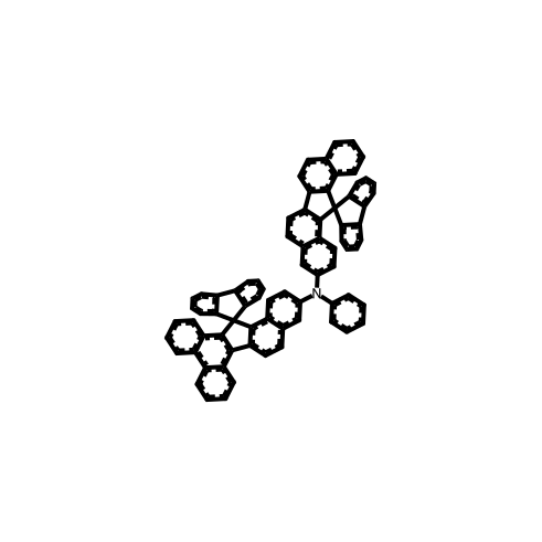 c1ccc(N(c2ccc3c4c(ccc3c2)-c2ccc3ccccc3c2C42c3ccccc3-c3ccccc32)c2ccc3c4c(ccc3c2)-c2c(c3ccccc3c3ccccc23)C42c3ccccc3-c3ccccc32)cc1